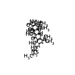 Cc1csc(NCc2cc(N(C)C)c3c(c2O)C(=O)C2=C(O)[C@]4(O)C(=O)C(C(N)=O)=C(O)C(N(C)C)[C@@H]4C[C@@H]2C3)n1